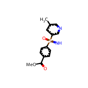 COC(=O)c1ccc(S(=N)(=O)c2cncc(C)c2)cc1